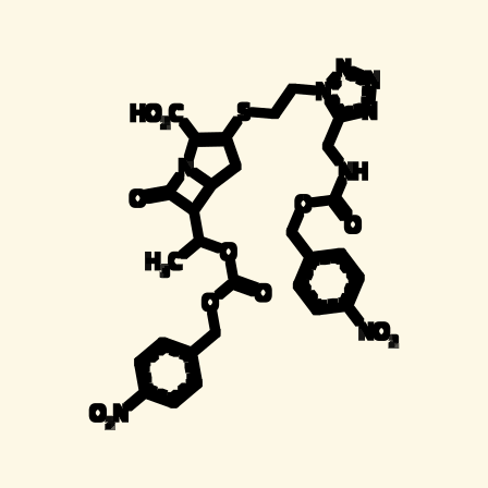 CC(OC(=O)OCc1ccc([N+](=O)[O-])cc1)C1C(=O)N2C(C(=O)O)=C(SCCn3nnnc3CNC(=O)OCc3ccc([N+](=O)[O-])cc3)CC12